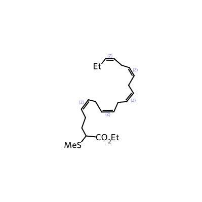 CC/C=C\C/C=C\C/C=C\C/C=C\C/C=C\CCC(SC)C(=O)OCC